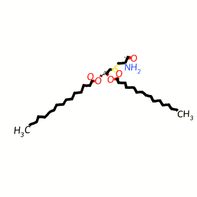 CCCCCCCCCCCCCCCC(=O)OC[C@H](CSCC(N)[C]=O)OC(=O)CCCCCCCCCCCCCCC